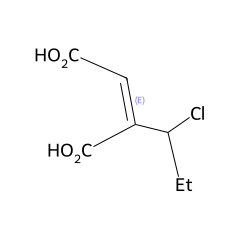 CCC(Cl)/C(=C/C(=O)O)C(=O)O